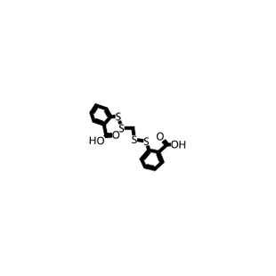 O=C(O)c1ccccc1SSCSSc1ccccc1C(=O)O